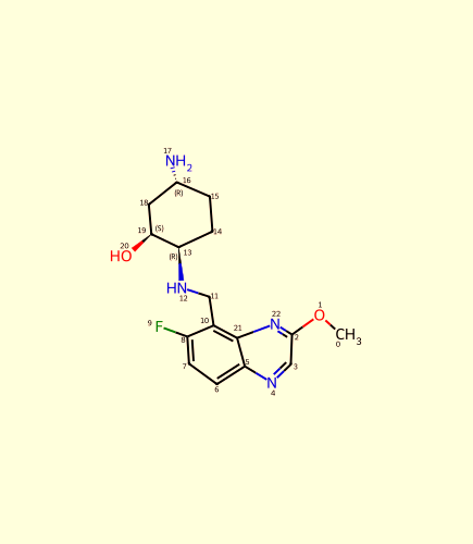 COc1cnc2ccc(F)c(CN[C@@H]3CC[C@@H](N)C[C@@H]3O)c2n1